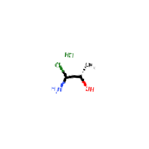 C[C@H](O)C(N)Cl.Cl